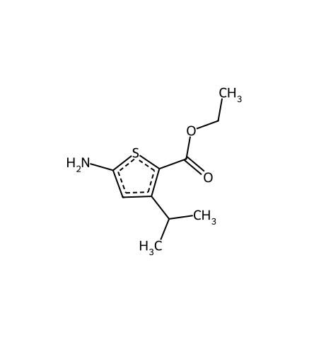 CCOC(=O)c1sc(N)cc1C(C)C